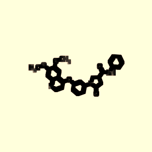 COc1cc2nccc(Oc3cccc(N4CC(C(=O)Nc5ccccc5)CC4=O)c3)c2cc1OC